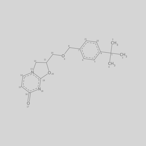 CC(C)(C)c1ccc(COCC2Cn3ccc(=O)nc3O2)cc1